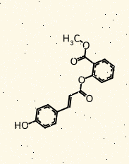 COC(=O)c1ccccc1OC(=O)C=Cc1ccc(O)cc1